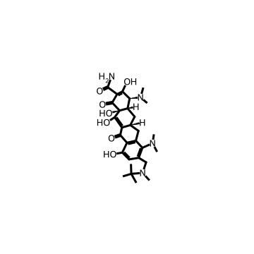 CN(C)c1c(CN(C)C(C)(C)C)cc(O)c2c1C[C@H]1C[C@H]3[C@H](N(C)C)C(O)=C(C(N)=O)C(=O)[C@@]3(O)C(O)=C1C2=O